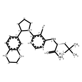 CC(C)(C)C[C@@H](Nc1ncnc(N2CCCC2c2ccc3c(c2)OCCO3)c1F)C(N)=O